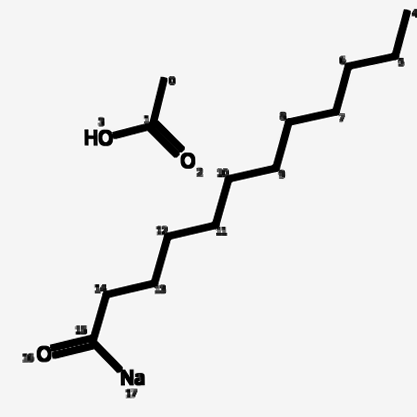 CC(=O)O.CCCCCCCCCCC[C](=O)[Na]